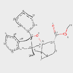 COC(=O)[C@@H]1CC2CC2(C)[C@@H]1O[Si](c1ccccc1)(c1ccccc1)C(C)(C)C